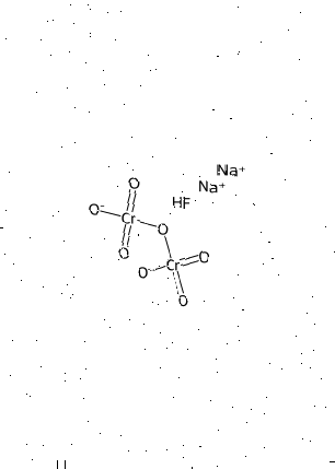 F.[Na+].[Na+].[O]=[Cr](=[O])([O-])[O][Cr](=[O])(=[O])[O-]